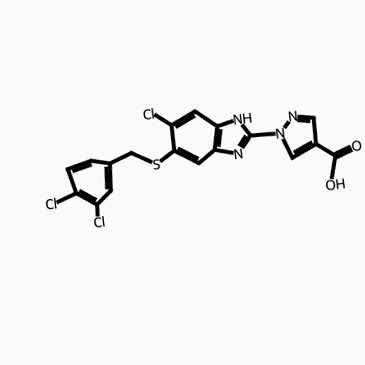 O=C(O)c1cnn(-c2nc3cc(SCc4ccc(Cl)c(Cl)c4)c(Cl)cc3[nH]2)c1